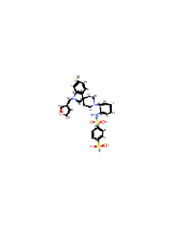 CS(=O)(=O)c1ccc(S(=O)(=O)Nc2ccccc2N2CCC3(CC2)CN(CC2CCOC2)c2cc(F)ccc23)cc1